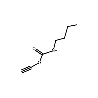 C#COC(=O)NCCCC